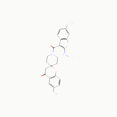 COc1ccc2c(C(=O)N3CCC4(CC3)CC(=O)c3cc(C#N)ccc3O4)c(NC(=O)O)sc2c1